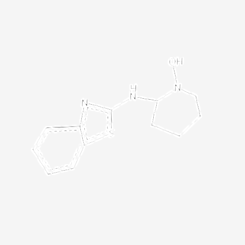 ON1CCCCC1Nc1nc2ccccc2s1